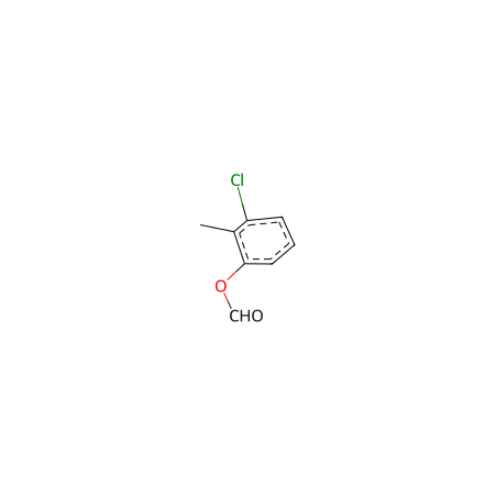 Cc1c(Cl)cccc1OC=O